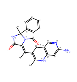 CC1=C(/C(C)=C2/C(=O)NC(C)(c3ccccc3)N2C=O)Cc2cnc(N)cc2N1